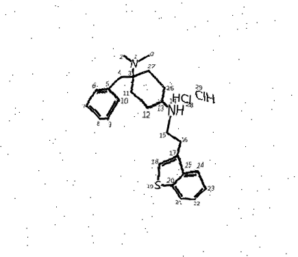 CN(C)C1(Cc2ccccc2)CCC(NCCc2csc3ccccc23)CC1.Cl.Cl